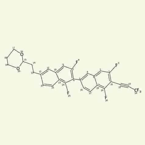 Fc1cc2cc(-c3c(F)cc4cc(CCC5OCCCO5)ccc4c3F)ccc2c(F)c1C#CC(F)(F)F